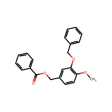 COc1ccc(COC(=O)c2ccccc2)cc1OCc1ccccc1